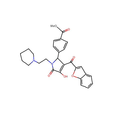 COC(=O)c1ccc(C2C(C(=O)c3cc4ccccc4o3)=C(O)C(=O)N2CCN2CCCCC2)cc1